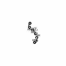 O=C(Nc1ccc(NC2CCN(C(=O)Nc3ccccc3F)CC2)nc1)c1oc(NC2CCN(Cc3ccccc3)CC2)nc1C(F)(F)F